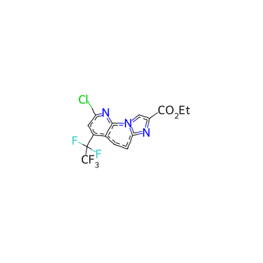 CCOC(=O)c1cn2c(ccc3c(C(F)(F)C(F)(F)F)cc(Cl)nc32)n1